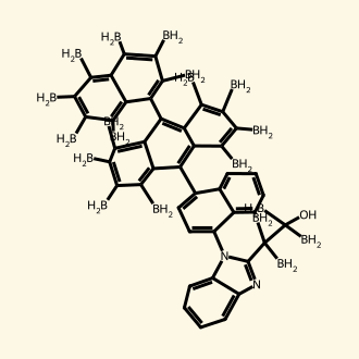 Bc1c(B)c(B)c2c(-c3c4c(B)c(B)c(B)c(B)c4c(-c4ccc(-n5c(C(B)(B)C(B)(B)O)nc6ccccc65)c5ccccc45)c4c(B)c(B)c(B)c(B)c34)c(B)c(B)c(B)c2c1B